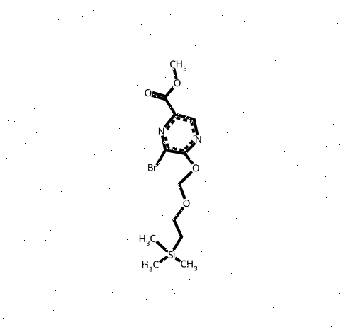 COC(=O)c1cnc(OCOCC[Si](C)(C)C)c(Br)n1